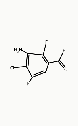 Nc1c(F)c(C(=O)F)cc(F)c1Cl